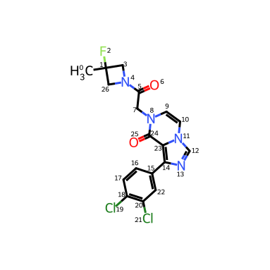 CC1(F)CN(C(=O)Cn2ccn3cnc(-c4ccc(Cl)c(Cl)c4)c3c2=O)C1